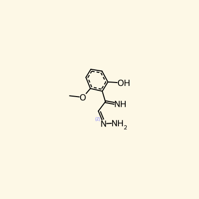 COc1cccc(O)c1C(=N)/C=N\N